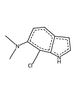 CN(C)c1ccc2cc[nH]c2c1Cl